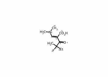 CCC(C)(F)C(=O)C(=CN(C)C)C(=O)O